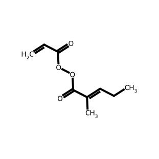 C=CC(=O)OOC(=O)C(C)=CCC